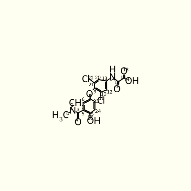 CN(C)C(=O)c1cc(Oc2c(Cl)cc(NC(=O)C(=O)O)cc2Cl)ccc1O